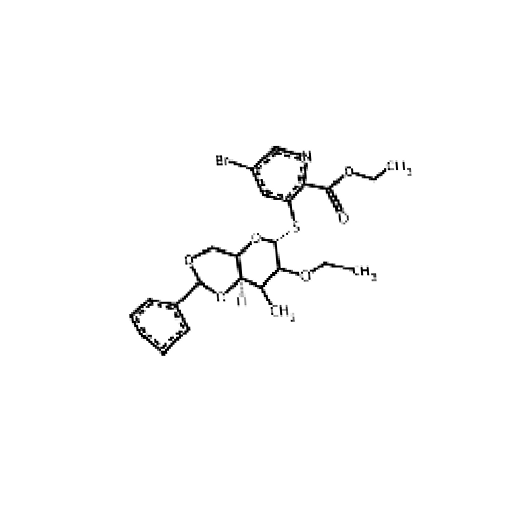 CCOC(=O)c1ncc(Br)cc1S[C@H]1OC2COC(c3ccccc3)O[C@@H]2C(C)C1OCC